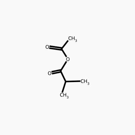 CC(=O)OC(=O)C(C)C